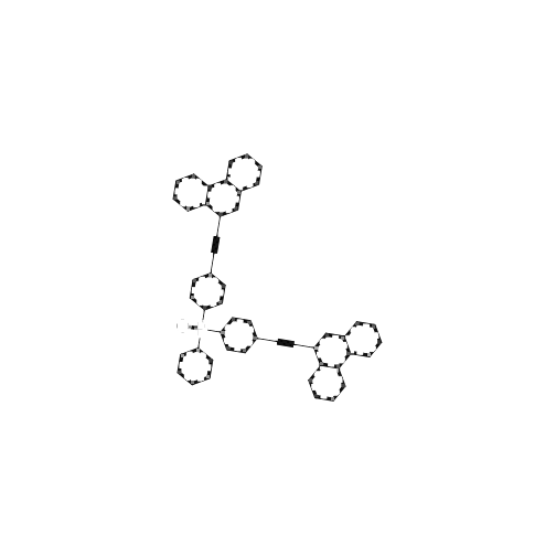 O=P(c1ccccc1)(c1ccc(C#Cc2cc3ccccc3c3ccccc23)cc1)c1ccc(C#Cc2cc3ccccc3c3ccccc23)cc1